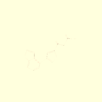 COC(=O)CC(=O)c1cc(-c2cccc3sccc23)cs1